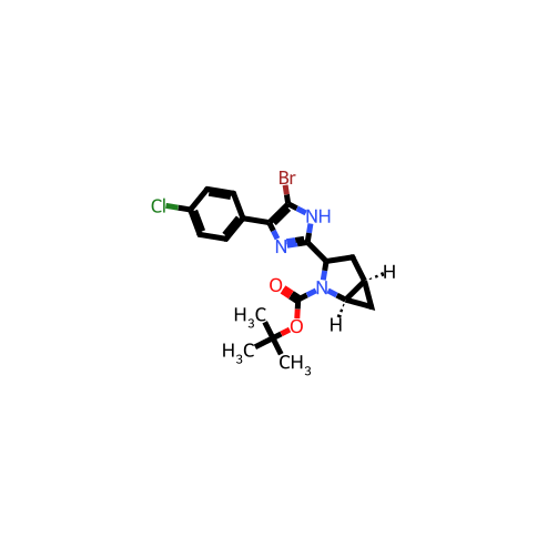 CC(C)(C)OC(=O)N1C(c2nc(-c3ccc(Cl)cc3)c(Br)[nH]2)C[C@H]2C[C@H]21